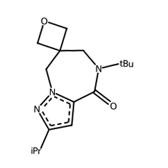 CC(C)c1cc2n(n1)CC1(COC1)CN(C(C)(C)C)C2=O